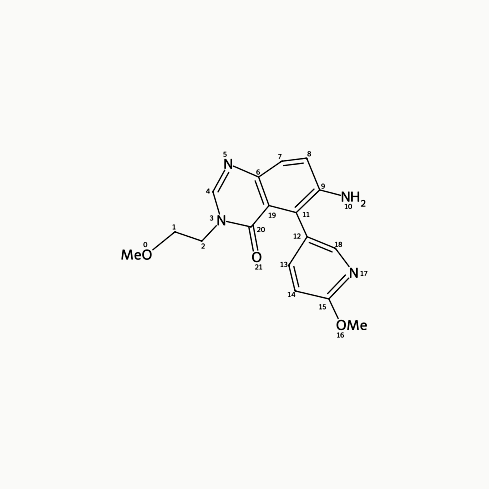 COCCn1cnc2ccc(N)c(-c3ccc(OC)nc3)c2c1=O